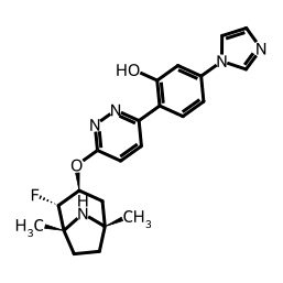 C[C@@]12CC[C@@](C)(N1)[C@H](F)[C@@H](Oc1ccc(-c3ccc(-n4ccnc4)cc3O)nn1)C2